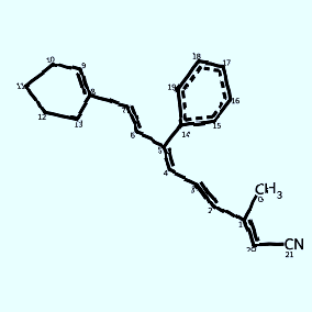 CC(/C=C/C=C(/C=C/C1=CCCCC1)c1ccccc1)=C\C#N